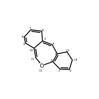 C1=CC2=C(C=c3ccccc3=CO2)CC1